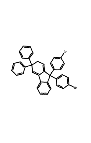 Brc1ccc(C2(c3ccc(Br)cc3)C3=CCC(c4ccccc4)(c4ccccc4)C=C3c3ccccc32)cc1